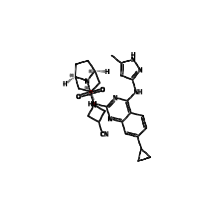 Cc1cc(Nc2nc(N[C@@H]3C[C@H]4CC[C@@H](C3)N4S(=O)(=O)N3CC(C#N)C3)nc3cc(C4CC4)ccc23)n[nH]1